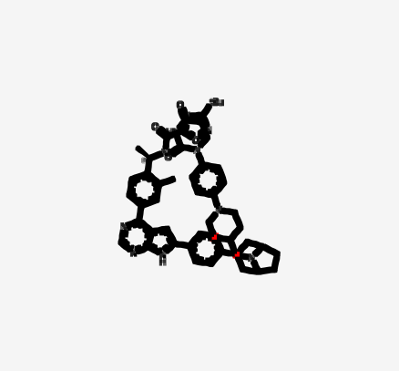 Cc1cc(-c2ncnc3[nH]c(-c4ccc(C5CC6CCC(C5)N6CC5CCN(c6ccc(N7CCC(=O)NC7=O)cc6)CC5)cc4)cc23)ccc1[C@@H](C)NC(=O)c1nc(C(C)(C)C)no1